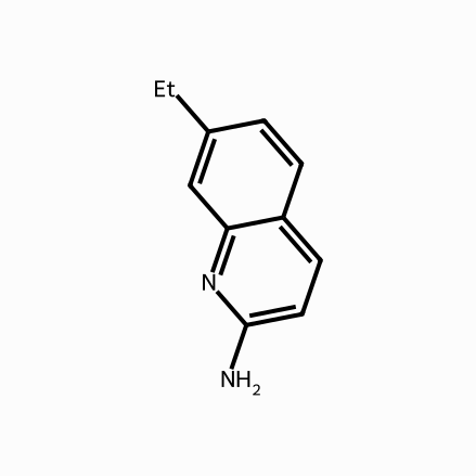 CCc1ccc2ccc(N)nc2c1